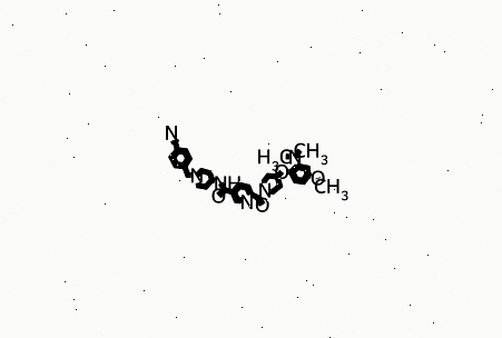 COc1ccc(OC2CCN(C(=O)c3ccc(C(=O)NC4CCN(Cc5ccc(C#N)cc5)CC4)cn3)CC2)c(N(C)C)c1